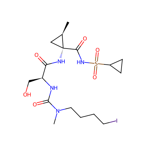 C[C@@H]1C[C@]1(NC(=O)[C@H](CO)NC(=O)N(C)CCCCI)C(=O)NS(=O)(=O)C1CC1